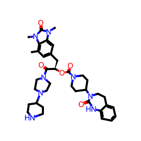 Cc1cc(C[C@@H](OC(=O)N2CCC(N3CCc4ccccc4NC3=O)CC2)C(=O)N2CCN(C3CCNCC3)CC2)cc2c1n(C)c(=O)n2C